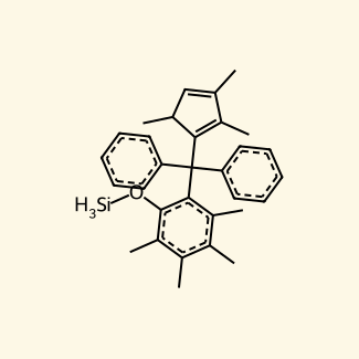 CC1=CC(C)C(C(c2ccccc2)(c2ccccc2)c2c(C)c(C)c(C)c(C)c2O[SiH3])=C1C